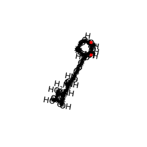 CC[C@H](C)[C@@H]1NC(=O)[C@H](CC(C)C)NC(=O)C(C)(C)NC(=O)CCSCc2cccc(c2)CSC[C@@H](C(=O)NCCCOCCOCCOCCCNC(=O)CCC(=O)N[C@@H](CCCCNC(=O)CN2CCN(CC(=O)O)CCN(CC(O)O)CCN(CC(=O)O)CC2)C(N)=O)NC1O